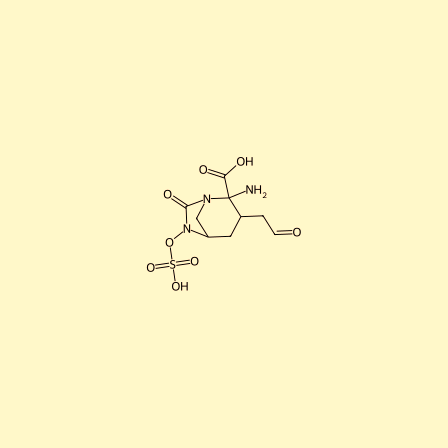 NC1(C(=O)O)C(CC=O)CC2CN1C(=O)N2OS(=O)(=O)O